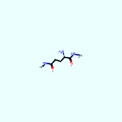 CC(C)NC(=O)CC[C@@H](N)C(=O)NC(C)C